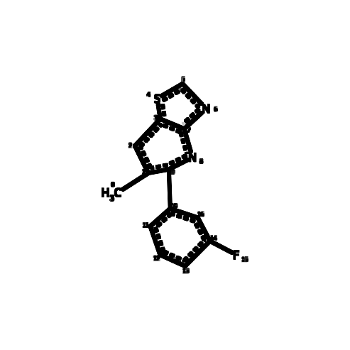 Cc1cc2scnc2nc1-c1cccc(F)c1